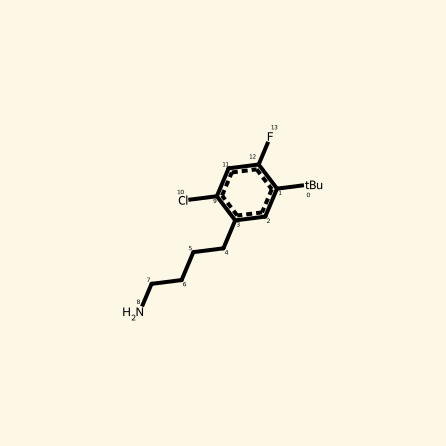 CC(C)(C)c1cc(CCCCN)c(Cl)cc1F